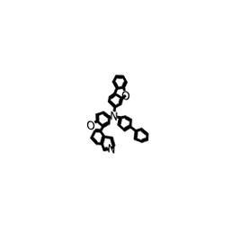 c1ccc(-c2ccc(N(c3ccc4c(c3)oc3ccccc34)c3ccc4oc5ccc6cnccc6c5c4c3)cc2)cc1